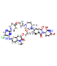 CNC(=O)COc1cc2cc(Nc3nc(N4CCC(O[C@H]5C[C@H](N6CCCN(c7ccc8c(c7C)C(=O)N(C7CCC(=O)NC7=O)C8=O)CC6)C5)CC4)ncc3Cl)ccc2n(C(C)C)c1=O